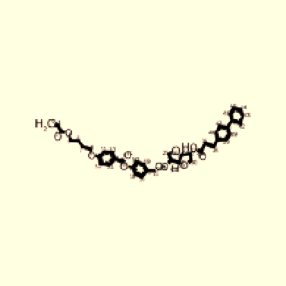 C=CC(=O)OCCCCOc1ccc(C(=O)Oc2ccc(COOC3CO[C@H]4[C@@H]3OC[C@H]4OC(=O)/C=C/c3ccc(-c4ccccc4)cc3)cc2)cc1